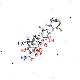 CN(C)[C@@H]1C(O)=C(C(N)=O)C(=O)[C@@]2(O)C(O)=C3C(=O)c4c(O)cc(CN(CC5CC5)CC(C)(C)C)c(F)c4C[C@H]3C[C@@H]12